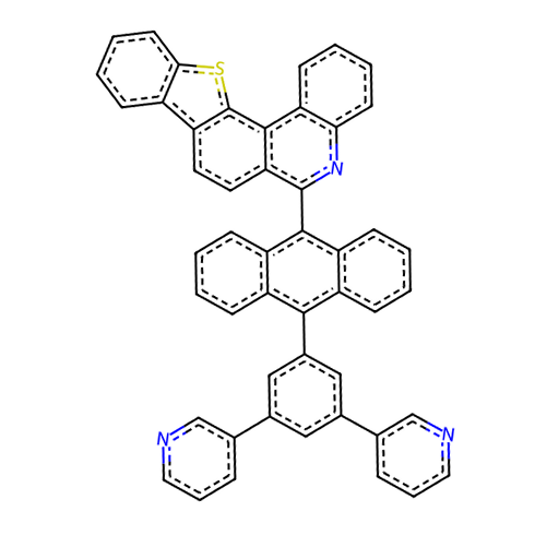 c1cncc(-c2cc(-c3cccnc3)cc(-c3c4ccccc4c(-c4nc5ccccc5c5c4ccc4c6ccccc6sc45)c4ccccc34)c2)c1